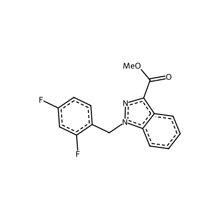 COC(=O)c1nn(Cc2ccc(F)cc2F)c2ccccc12